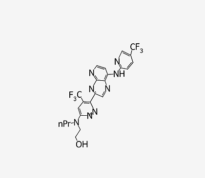 CCCN(CCO)c1cc(C(F)(F)F)c(-c2cnc3c(Nc4ccc(C(F)(F)F)cn4)ccnc3n2)nn1